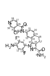 NC(=O)c1nn(-c2cc(F)c(N)cc2F)c2c1CCc1ccc(NC(=O)c3ccncc3Cl)cc1-2